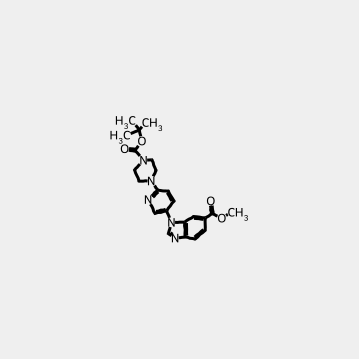 COC(=O)c1ccc2ncn(-c3ccc(N4CCN(C(=O)OC(C)(C)C)CC4)nc3)c2c1